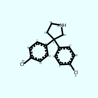 Clc1ccc(C2(c3ccc(Cl)cc3)CCNC2)cc1